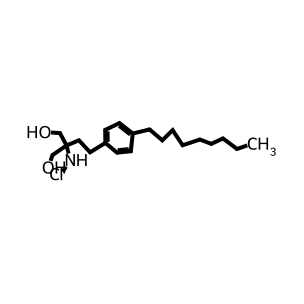 CCCCCCCCCc1ccc(CCC(CO)(CO)NCl)cc1